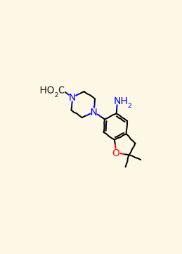 CC1(C)Cc2cc(N)c(N3CCN(C(=O)O)CC3)cc2O1